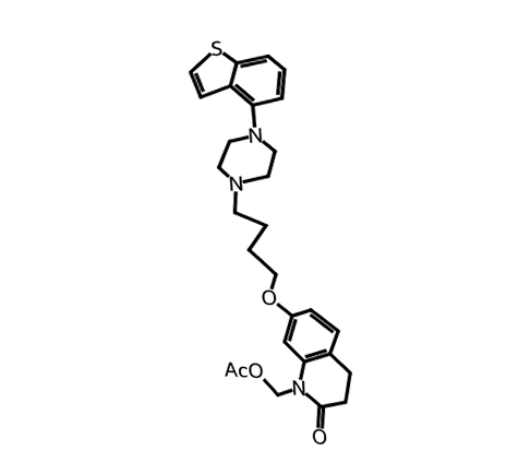 CC(=O)OCN1C(=O)CCc2ccc(OCCCCN3CCN(c4cccc5sccc45)CC3)cc21